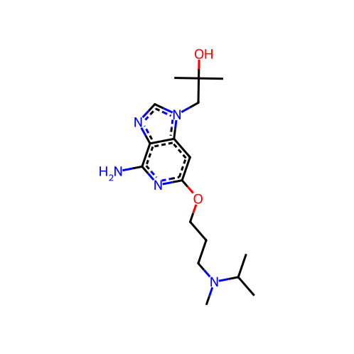 CC(C)N(C)CCCOc1cc2c(ncn2CC(C)(C)O)c(N)n1